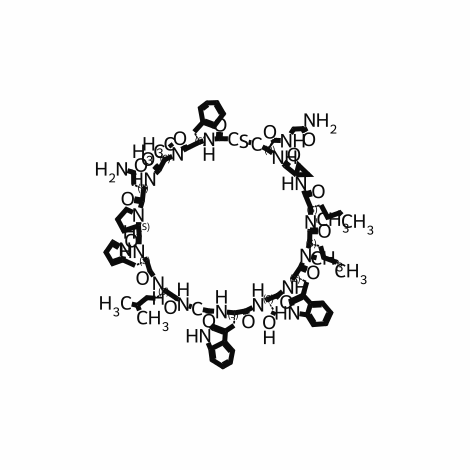 CCCC[C@H]1C(=O)N(C)[C@@H](CCCC)C(=O)NC2(CC2)C(=O)N[C@H](C(=O)NCC(N)=O)CSCC(=O)N[C@@H](Cc2ccccc2)C(=O)N(C)[C@@H](C)C(=O)N[C@@H](CC(N)=O)C(=O)N2CCC[C@H]2C(=O)N[C@@H](CC2=CCC=N2)C(=O)N[C@@H](CCC(C)C)C(=O)NCC(=O)N[C@@H](Cc2c[nH]c3ccccc23)C(=O)N[C@@H](CO)C(=O)N[C@@H](Cc2c[nH]c3ccccc23)C(=O)N1C